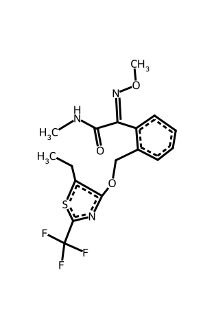 CCc1sc(C(F)(F)F)nc1OCc1ccccc1/C(=N\OC)C(=O)NC